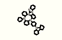 c1ccc(-n2c3ccccc3n(-c3ccc(-n4c5ccccc5c5ccccc54)cc3)c3cccc4c3n(c3ccccc32)c2nc3ccccc3n42)cc1